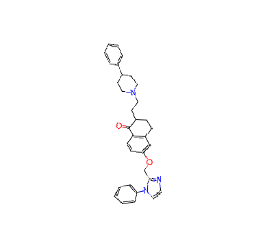 O=C1c2ccc(OCc3nccn3-c3ccccc3)cc2CCC1CCN1CCC(c2ccccc2)CC1